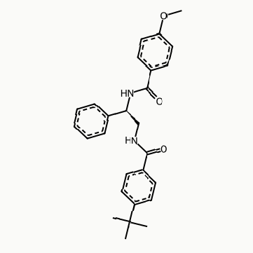 COc1ccc(C(=O)N[C@@H](CNC(=O)c2ccc(C(C)(C)C)cc2)c2ccccc2)cc1